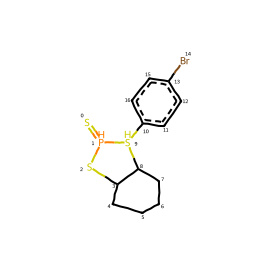 S=[PH]1SC2CCCCC2[SH]1c1ccc(Br)cc1